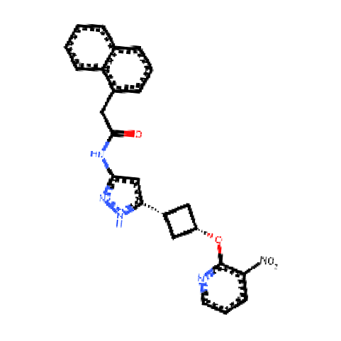 O=C(Cc1cccc2ccccc12)Nc1cc([C@H]2C[C@@H](Oc3ncccc3[N+](=O)[O-])C2)[nH]n1